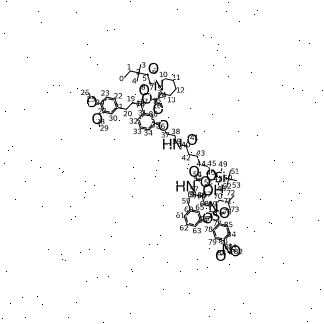 CCC(C)(C)C(=O)C(=O)N1CCCC[C@H]1C(=O)O[C@H](CCc1ccc(OC)c(OC)c1)c1cccc(OCCNC(=O)CCC(CO[Si](C)(C)C(C)(C)C)OC(=O)N[C@@H](Cc2ccccc2)[C@H](O)CN(CC(C)C)S(=O)(=O)c2ccc([N+](=O)[O-])cc2)c1